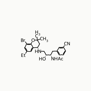 CCc1cc(Br)c2c(c1)[C@@H](NC[C@@H](O)[C@H](Cc1cccc(C#N)c1)NC(C)=O)CC(C)(C)O2